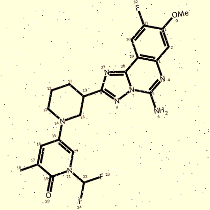 COc1cc2nc(N)n3nc(C4CCCN(c5cc(C)c(=O)n(C(F)F)c5)C4)nc3c2cc1F